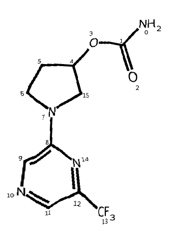 NC(=O)OC1CCN(c2cncc(C(F)(F)F)n2)C1